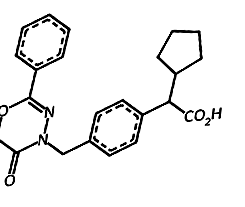 O=C(O)C(c1ccc(CN2N=C(c3ccccc3)OCC2=O)cc1)C1CCCC1